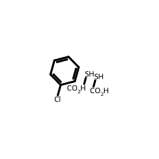 Clc1ccccc1.O=C(O)S.O=C(O)S